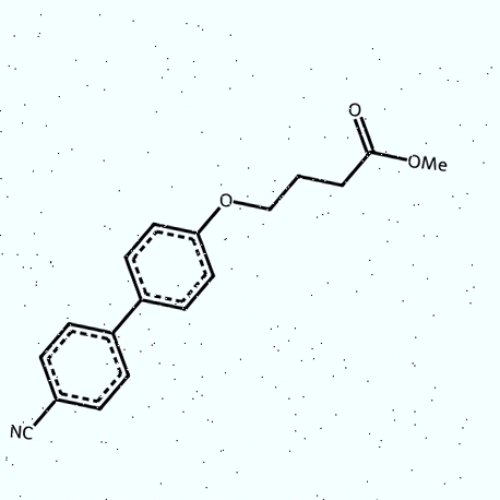 COC(=O)CCCOc1ccc(-c2ccc(C#N)cc2)cc1